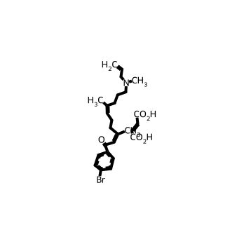 C=CCN(C)CCCC(C)=CCCC(C)=CC(=O)c1ccc(Br)cc1.O=C(O)C=CC(=O)O